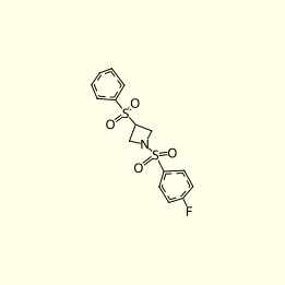 O=S(=O)(c1ccccc1)C1CN(S(=O)(=O)c2ccc(F)cc2)C1